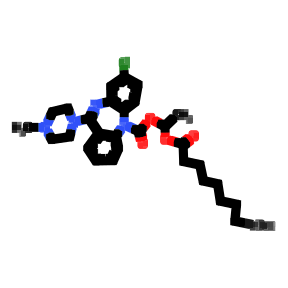 CCCCCCCCCCCCCCCCCC(=O)OC(C)OC(=O)N1c2ccc(Cl)cc2N=C(N2CCN(C)CC2)c2ccccc21